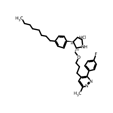 CCCCCCCCc1ccc([C@H]2CCN[C@@H]2COCCCc2cc(C)nnc2-c2ccc(F)cc2)cc1.Cl